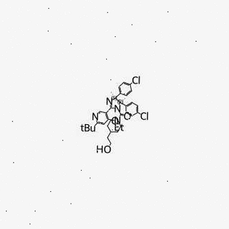 CCOc1cc(C(C)(C)C)ncc1C1=N[C@@](C)(c2ccc(Cl)cc2)[C@@](C)(c2ccc(Cl)cc2)N1C(=O)N1CCC(CCO)CC1